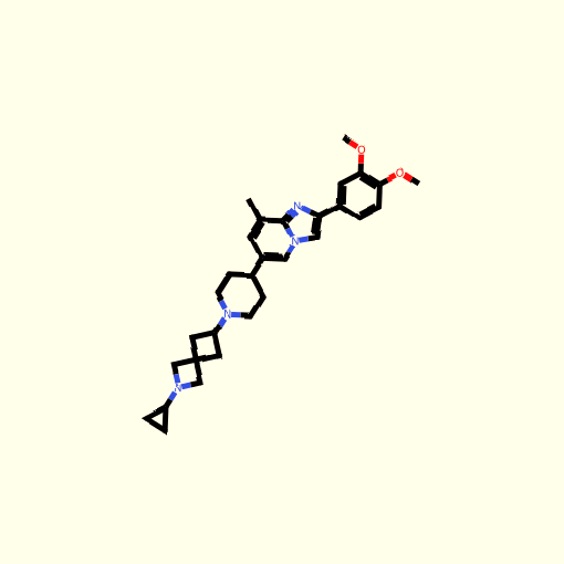 COc1ccc(-c2cn3cc(C4CCN(C5CC6(C5)CN(C5CC5)C6)CC4)cc(C)c3n2)cc1OC